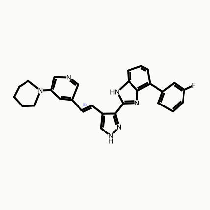 Fc1cccc(-c2cccc3[nH]c(-c4n[nH]cc4/C=C/c4cncc(N5CCCCC5)c4)nc23)c1